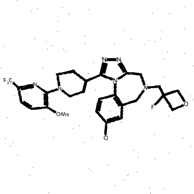 COc1ccc(C(F)(F)F)nc1N1CCC(c2nnc3n2-c2ccc(Cl)cc2CN(CC2(F)COC2)C3)CC1